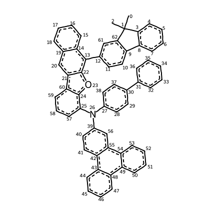 CC1(C)c2ccccc2-c2ccc(-c3c4ccccc4cc4c3oc3c(N(c5ccc(-c6ccccc6)cc5)c5ccc6c7ccccc7c7ccccc7c6c5)cccc34)cc21